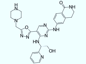 O=C1NCCc2cc(Nc3ncc(-c4nnc(CN5CCNCC5)o4)c(N[C@H](CO)c4ccccn4)n3)ccc21